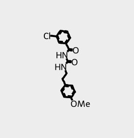 COc1ccc(CCNC(=O)NC(=O)c2cccc(Cl)c2)cc1